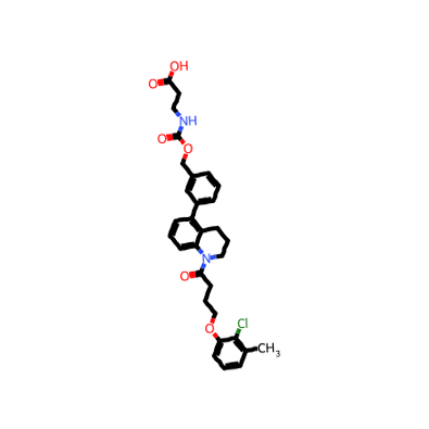 Cc1cccc(OCCCC(=O)N2CCCc3c(-c4cccc(COC(=O)NCCC(=O)O)c4)cccc32)c1Cl